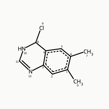 Cc1cc2c(cc1C)C(Cl)NC=N2